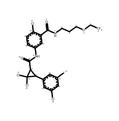 O=C(NCCCOCC(F)(F)F)c1cc(NC(=O)C2C(c3cc(Cl)cc(I)c3)C2(Cl)Cl)ccc1Cl